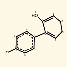 OC1=CCCC=C1c1ccc(F)cc1